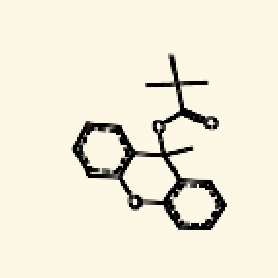 CC(C)(C)C(=O)OC1(C)c2ccccc2Oc2ccccc21